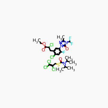 CC(C)N(C(=O)SCC(Cl)=C(Cl)Cl)C(C)C.CCOC(=O)C(Cl)Cc1cc(-n2nc(C)n(C(F)F)c2=O)c(F)cc1Cl